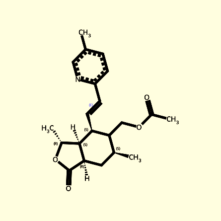 CC(=O)OCC1[C@@H](C)C[C@H]2C(=O)O[C@H](C)[C@H]2[C@H]1/C=C/c1ccc(C)cn1